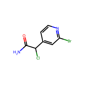 NC(=O)C(Cl)c1ccnc(Br)c1